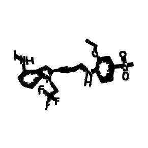 CCOc1cc(S(C)(=O)=O)ccc1NCC#Cc1cc2c(NI)cccc2n1CC(F)(F)F